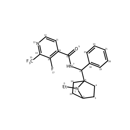 CCN1C2CCC1(C(NC(=O)c1ccnc(C(F)(F)F)c1F)c1ccccc1)CC2